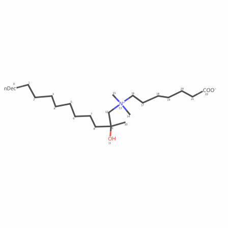 CCCCCCCCCCCCCCCCCCC(C)(O)C[N+](C)(C)CCCCCCC(=O)[O-]